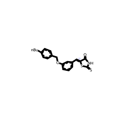 CCCCc1ccc(COc2cccc(/C=C3\SC(=S)NC3=O)c2)cc1